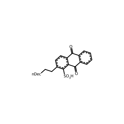 CCCCCCCCCCCCc1ccc2c(c1S(=O)(=O)O)C(=O)c1ccccc1C2=O